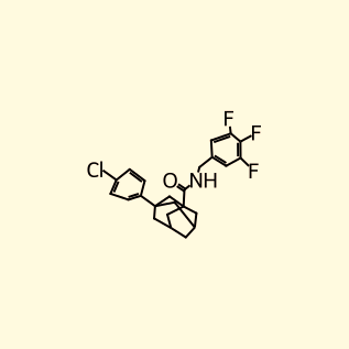 O=C(NCc1cc(F)c(F)c(F)c1)C12CC3CC(C1)CC(c1ccc(Cl)cc1)(C3)C2